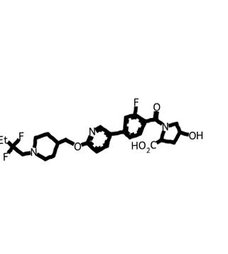 CCC(F)(F)CN1CCC(COc2ccc(-c3ccc(C(=O)N4CC(O)CC4C(=O)O)c(F)c3)cn2)CC1